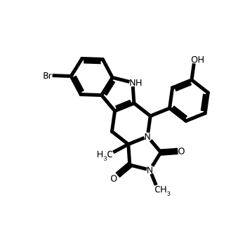 CN1C(=O)N2C(c3cccc(O)c3)c3[nH]c4ccc(Br)cc4c3CC2(C)C1=O